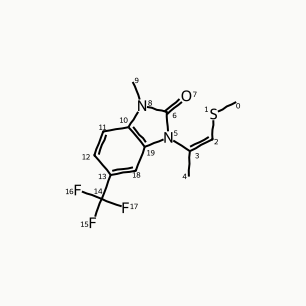 CS/C=C(/C)n1c(=O)n(C)c2ccc(C(F)(F)F)cc21